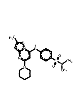 Cc1cc2nc(N3CCCCC3)cc(Nc3ccc(S(=O)(=O)N(C)C)cc3)n2n1